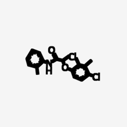 Cc1ccccc1NC(=O)C(C)Oc1ccc(Cl)c(C)c1Cl